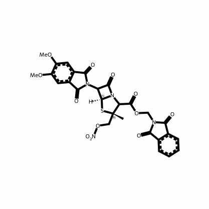 COc1cc2c(cc1OC)C(=O)N(C1C(=O)N3C(C(=O)OCN4C(=O)c5ccccc5C4=O)[C@](C)(CO[N+](=O)[O-])S[C@@H]13)C2=O